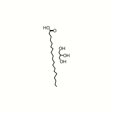 CCCCCCCCCCCCCCCCCCC(=O)O.OCC(O)CO